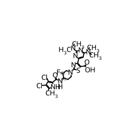 Cc1[nH]c(C(=O)N[C@@H]2CCN(c3nc(-c4cc(N(C)C)nc(N(C)C)n4)c(C(=O)O)s3)C[C@@H]2F)c(Cl)c1Cl